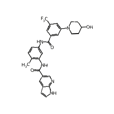 Cc1ccc(NC(=O)c2cc(N3CCC(O)CC3)cc(C(F)(F)F)c2)cc1NC(=O)c1cnc2[nH]ccc2c1